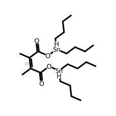 CCC[CH2][SnH]([CH2]CCC)[O]C(=O)/C(C)=C(/C)C(=O)[O][SnH]([CH2]CCC)[CH2]CCC